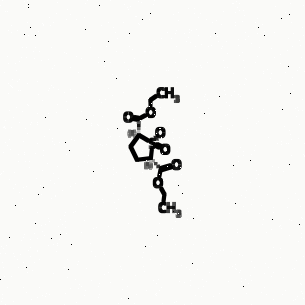 CCOC(=O)[C@H]1CC[C@@H](C(=O)OCC)S1(=O)=O